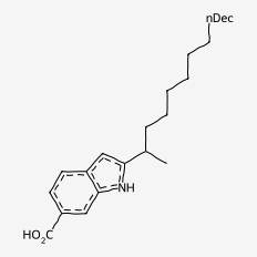 CCCCCCCCCCCCCCCCC(C)c1cc2ccc(C(=O)O)cc2[nH]1